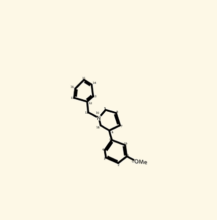 COc1cccc(C2C=CCN(Cc3ccccc3)C2)c1